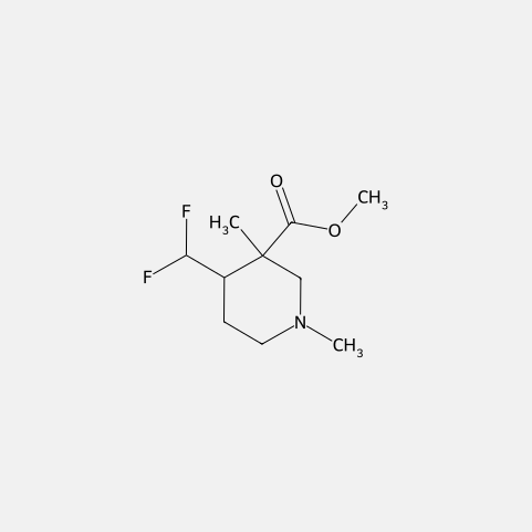 COC(=O)C1(C)CN(C)CCC1C(F)F